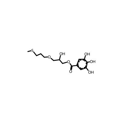 CSCCCOCC(O)COC(=O)c1cc(O)c(O)c(O)c1